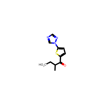 CC(CC(=O)O)C(=O)c1ccc(-n2cncn2)s1